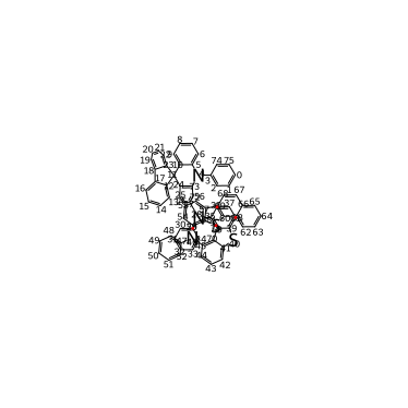 c1ccc(N2c3ccccc3C3(c4ccccc4-c4ccccc43)c3ccc(N(c4ccccc4)c4cccc5sc6cccc(N(c7ccccc7)c7cccc8c7sc7c9ccccc9ccc87)c6c45)cc32)cc1